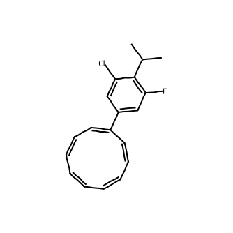 CC(C)c1c(F)cc(-c2ccccccccc2)cc1Cl